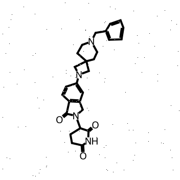 O=C1CCC(N2Cc3cc(N4CC5(CCN(Cc6ccccc6)CC5)C4)ccc3C2=O)C(=O)N1